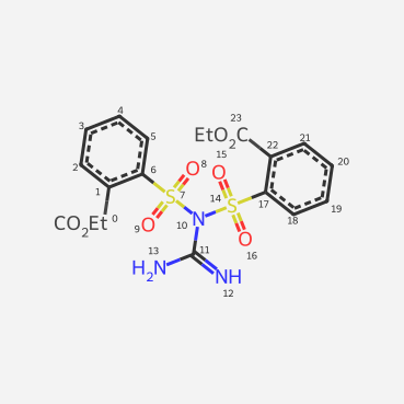 CCOC(=O)c1ccccc1S(=O)(=O)N(C(=N)N)S(=O)(=O)c1ccccc1C(=O)OCC